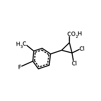 Cc1cc(C2C(C(=O)O)C2(Cl)Cl)ccc1F